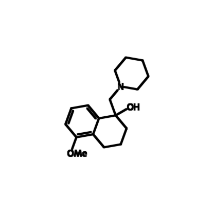 COc1cccc2c1CCCC2(O)CN1CCCCC1